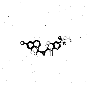 CS(=O)(=O)c1ccc(NC(=O)C2CC2C(=O)N2CCCc3cc(Cl)cc(Cl)c32)c(Cl)c1